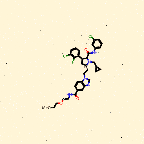 COCCOCCNC(=O)c1ccc2c(c1)ncn2CC[C@H]1CC(c2cccc(Cl)c2F)C(C(=O)Nc2cccc(Cl)c2)N1CC1CC1